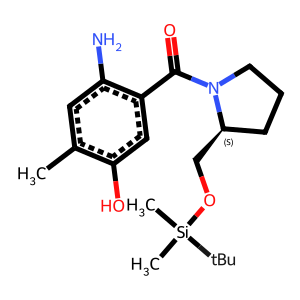 Cc1cc(N)c(C(=O)N2CCC[C@H]2CO[Si](C)(C)C(C)(C)C)cc1O